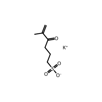 C=C(C)C(=O)CCCS(=O)(=O)[O-].[K+]